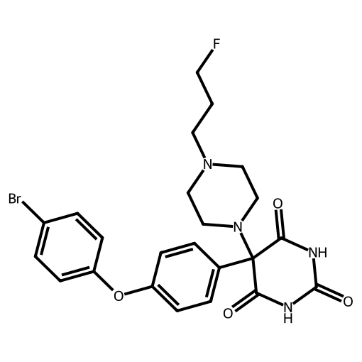 O=C1NC(=O)C(c2ccc(Oc3ccc(Br)cc3)cc2)(N2CCN(CCCF)CC2)C(=O)N1